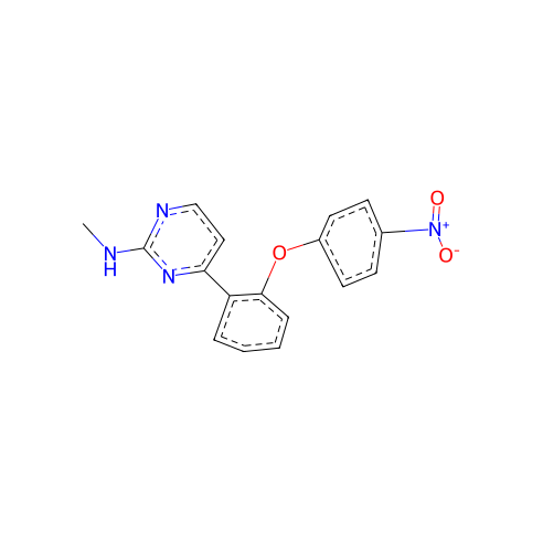 CNc1nccc(-c2ccccc2Oc2ccc([N+](=O)[O-])cc2)n1